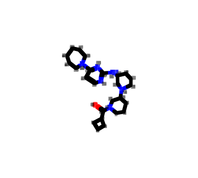 O=C(C1CCC1)N1CCCC(N2CCCC(Nc3nccc(N4CCCCCC4)n3)C2)C1